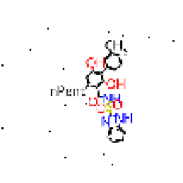 CCCCCc1cc(O)c(-c2cccc(C)c2)c(O)c1C(=O)NS(=O)(=O)c1nc2ccccc2[nH]1